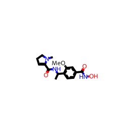 COc1cc(C(=O)NO)ccc1C(C)NC(=O)C1=CCCN1C